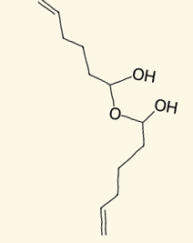 C=CCCCC(O)OC(O)CCCC=C